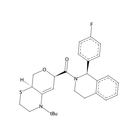 CC(C)(C)N1CCS[C@H]2CO[C@@H](C(=O)N3CCc4ccccc4[C@@H]3c3ccc(F)cc3)C=C21